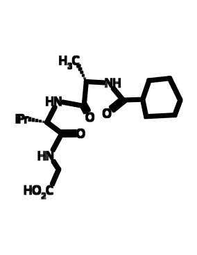 CC(C)[C@H](NC(=O)[C@H](C)NC(=O)C1CCCCC1)C(=O)NCC(=O)O